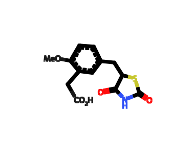 COc1ccc(CC2SC(=O)NC2=O)cc1CC(=O)O